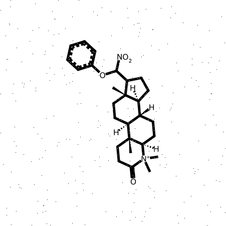 C[C@]12CCC(=O)[N+](C)(C)[C@@H]1CC[C@@H]1[C@@H]2CC[C@]2(C)C(C(Oc3ccccc3)[N+](=O)[O-])CC[C@@H]12